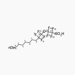 CCCCCCCCCCCCCCCCC(F)(F)C(F)(F)OC(F)(F)C(F)(F)S(=O)(=O)O